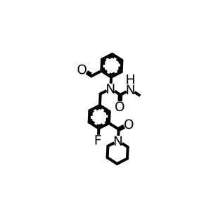 CNC(=O)N(Cc1ccc(F)c(C(=O)N2CCCCC2)c1)c1ccccc1C=O